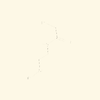 C=C(CC(C)C)NCCNC(C)C